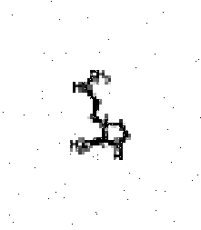 C=C1NCCN1CCNC